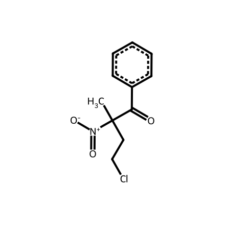 CC(CCCl)(C(=O)c1ccccc1)[N+](=O)[O-]